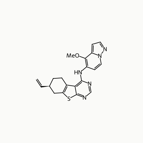 C=C[C@H]1CCc2c(sc3ncnc(Nc4ccn5nccc5c4OC)c23)C1